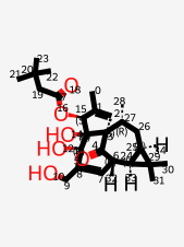 CC1=C[C@]23C(=O)[C@@H](C=C(CO)[C@@H](O)[C@]2(O)[C@H]1OC(=O)CC(C)(C)C)[C@H]1[C@@H](C[C@H]3C)C1(C)C